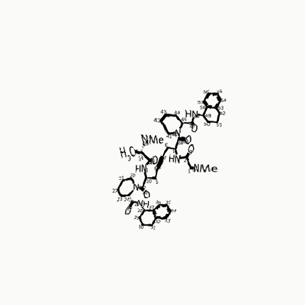 CNCC(=O)N[C@@H](CC#CC[C@H](NC(=O)[C@H](C)NC)C(=O)N1CCCC[C@H]1C(=O)N[C@@H]1CCCc2ccccc21)C(=O)N1CCCC[C@H]1C(=O)N[C@@H]1CCCc2ccccc21